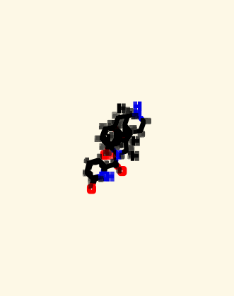 O=C(c1cccc(=O)[nH]1)N1C[C@H]2C[C@@]34CC[C@@H]1[C@@H]2[C@@]31CCN[C@@H]4Cc2ccc(O)cc21